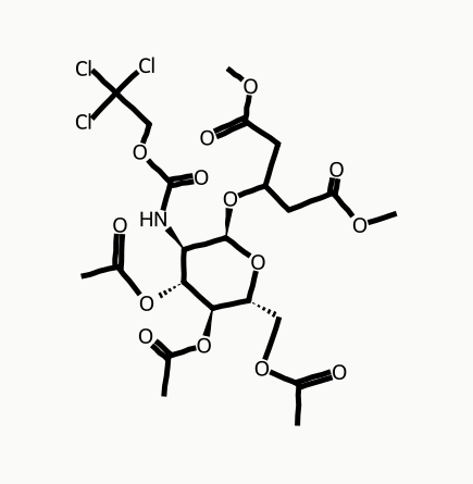 COC(=O)CC(CC(=O)OC)O[C@H]1O[C@H](COC(C)=O)[C@@H](OC(C)=O)[C@H](OC(C)=O)[C@H]1NC(=O)OCC(Cl)(Cl)Cl